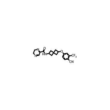 N#Cc1ccc(OC2CC3(CC(NC(=O)C4=NCCN=C4)C3)C2)cc1C(F)(F)F